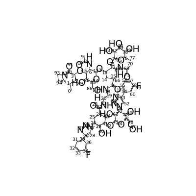 CCC[C@H](OC1C(NC(C)=O)[C@H](O[C@@H]2CC(C(=O)NCCNC(=O)C3CC(n4cc(-c5cccc(F)c5)nn4)C(O)[C@H](O[C@@H]4OC(CO)[C@H](O)C(n5cc(-c6cccc(F)c6)nn5)C4O)C3)CC(NC(C)=O)C2O[C@@H]2OC(C)[C@@H](O)C(O)C2O)OC(CO)[C@@H]1O)C(=O)N1CCC1